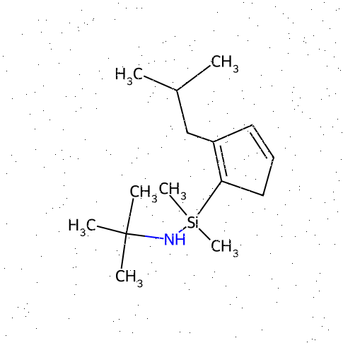 CC(C)CC1=C([Si](C)(C)NC(C)(C)C)CC=C1